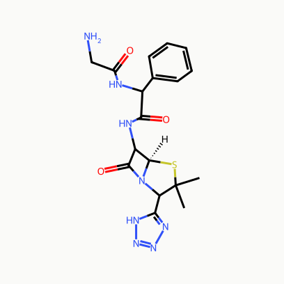 CC1(C)S[C@@H]2C(NC(=O)C(NC(=O)CN)c3ccccc3)C(=O)N2C1c1nnn[nH]1